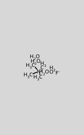 C[N+](C)(C)C.O.O.O.O.[F-]